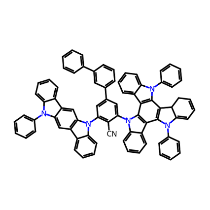 N#Cc1c(-n2c3ccccc3c3cc4c(cc32)c2ccccc2n4-c2ccccc2)cc(-c2cccc(-c3ccccc3)c2)cc1-n1c2ccccc2c2c3c(c4c(c5ccccc5n4-c4ccccc4)c21)C1CC=CC=C1N3c1ccccc1